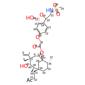 C=C[C@]1(C)C[C@@H](OC(=O)COc2ccc3c(c2)B(O)OC3CNS(C)(=O)=O)[C@@]2(C)C[C@](CCC(C)=O)(CC[C@H]2C)[C@@H](C)[C@@H]1O